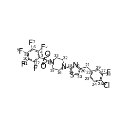 O=S(=O)(c1c(F)c(F)c(F)c(F)c1F)N1CCN(c2nc(Cc3ccc(Cl)c(F)c3)cs2)CC1